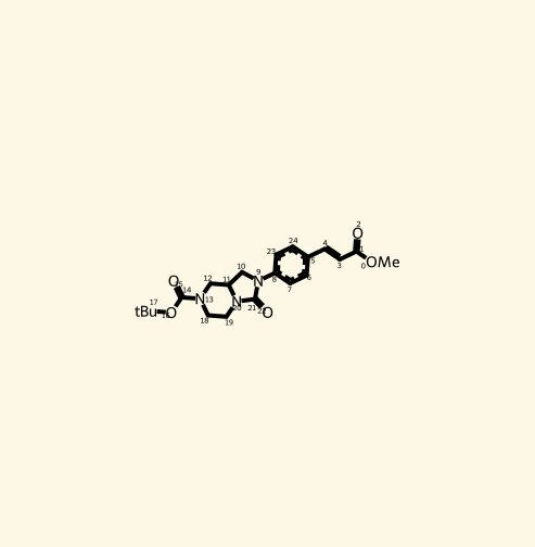 COC(=O)C=Cc1ccc(N2CC3CN(C(=O)OC(C)(C)C)CCN3C2=O)cc1